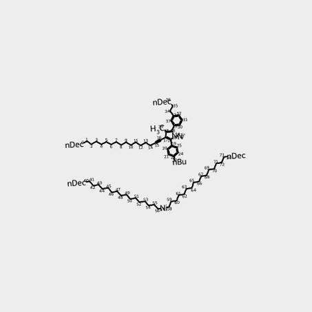 CCCCCCCCCCCCCCCCCCCCCCCCC#CC1=C(c2ccc(CCCC)cc2)[N+](=[N-])C(c2cccc(CCCCCCCCCCCC)c2)=C1C.CCCCCCCCCCCCCCCCCCCCCCCCC[CH2][Ni][CH2]CCCCCCCCCCCCCCCCCCCCCCCCC